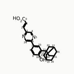 O=C(O)C=Cc1cnc(-c2ccc(O)c(C34CC5CC(CC(C5)C3)C4)c2)cn1